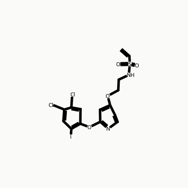 C=CS(=O)(=O)NCCOc1ccnc(Oc2cc(Cl)c(Cl)cc2I)c1